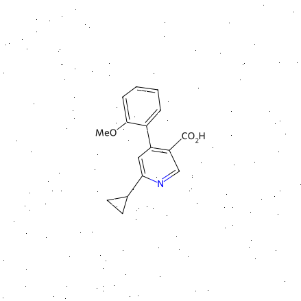 COc1ccccc1-c1cc(C2CC2)ncc1C(=O)O